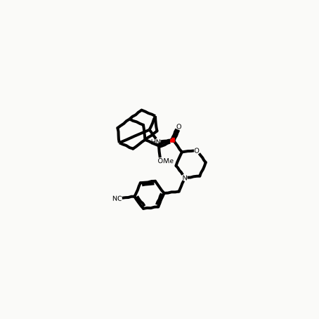 COC(=O)C12CC3CC(C1)C(NC(=O)C1CN(Cc4ccc(C#N)cc4)CCO1)C(C3)C2